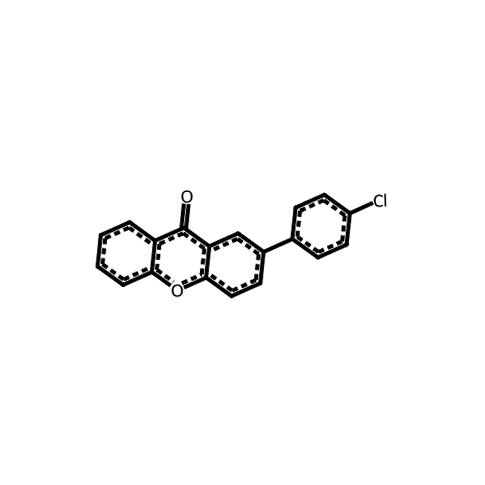 O=c1c2ccccc2oc2ccc(-c3ccc(Cl)cc3)cc12